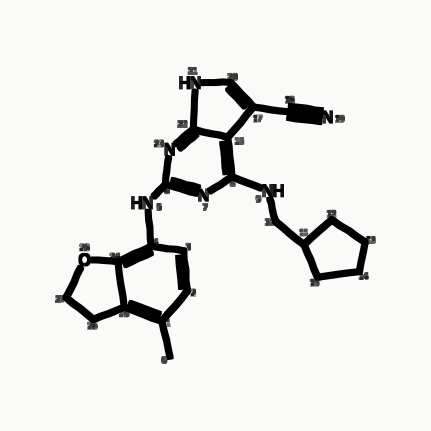 Cc1ccc(Nc2nc(NCC3CCCC3)c3c(C#N)c[nH]c3n2)c2c1CCO2